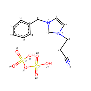 N#CCCN1C=CN(Cc2ccccc2)C1.O=S(=O)(O)OS(=O)(=O)O